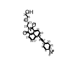 CN(C)c1ccc(C#Cc2ccc3c4c(cccc24)C(=O)N(CCOCCO)C3=O)cc1